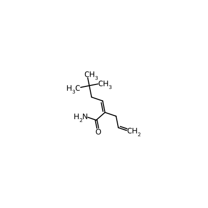 C=CCC(=CCC(C)(C)C)C(N)=O